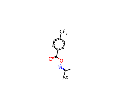 CC(=O)C(C)=NOC(=O)c1ccc(C(F)(F)F)cc1